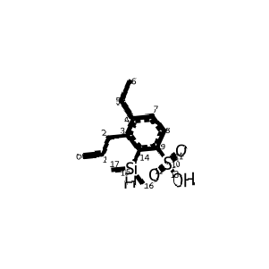 C=CCc1c(CC)ccc(S(=O)(=O)O)c1[SiH](C)C